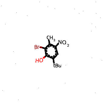 Cc1c([N+](=O)[O-])cc(C(C)(C)C)c(O)c1Br